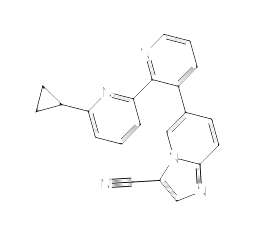 N#Cc1cnc2ccc(-c3cccnc3-c3cccc(C4CC4)n3)cn12